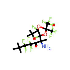 CC(C)(C)C(F)(F)C(F)(F)C(C)(C)C(C)(N)C1(F)OC(C(F)(F)F)(C(F)(F)F)OC1(F)C(C)(C)C